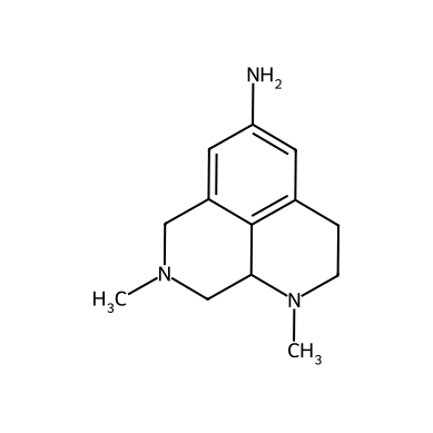 CN1Cc2cc(N)cc3c2C(C1)N(C)CC3